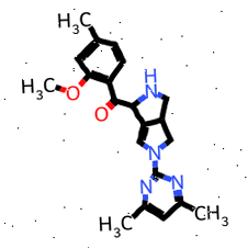 COc1cc(C)ccc1C(=O)C1NCC2CN(c3nc(C)cc(C)n3)C=C21